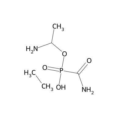 CC.CC(N)OP(=O)(O)C(N)=O